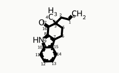 C=CC[C@]1(C)CCc2c([nH]c3ccccc23)C1=O